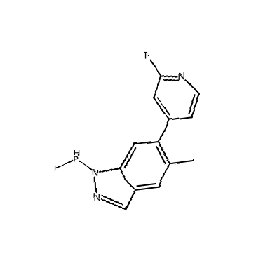 Cc1cc2cnn(PI)c2cc1-c1ccnc(F)c1